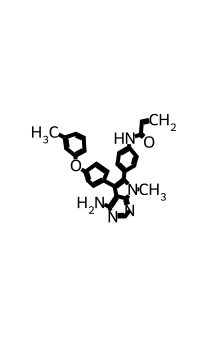 C=CC(=O)Nc1ccc(-c2c(-c3ccc(Oc4cccc(C)c4)cc3)c3c(N)ncnc3n2C)cc1